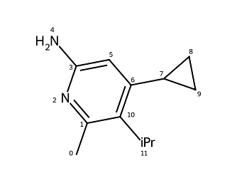 Cc1nc(N)cc(C2CC2)c1C(C)C